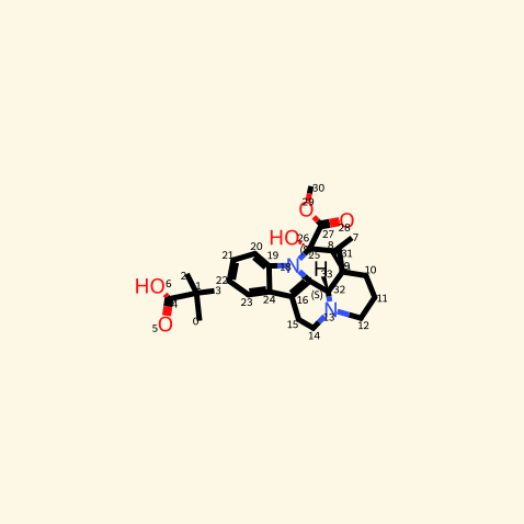 CC(C)(C)C(=O)O.CC[C@]12CCCN3CCc4c(n(c5ccccc45)[C@@](O)(C(=O)OC)C1)[C@@H]32